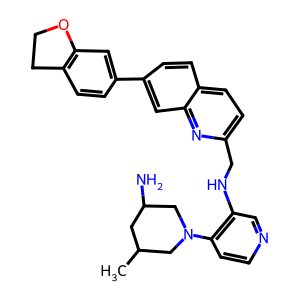 CC1CC(N)CN(c2ccncc2NCc2ccc3ccc(-c4ccc5c(c4)OCC5)cc3n2)C1